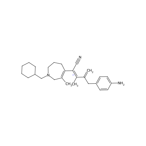 C=C(Cc1ccc(N)cc1)/C(C)=C(\C#N)C1=C(C)CN(CC2CCCCC2)CCC1